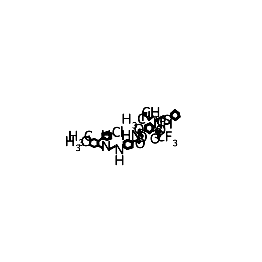 CN(C)CC[C@H](CSc1ccccc1)Nc1ccc(S(=O)(=O)NC(=O)c2ccc(NCCNCC3=C(c4ccc(Cl)cc4)CC(C)(C)CC3)cc2)cc1S(=O)(=O)C(F)(F)F